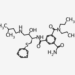 CCCN(CCC)C(=O)c1cc(C(N)=O)cc(C(=O)N[C@@H](CSc2ccccc2)[C@H](O)CNCCC(C)C)c1